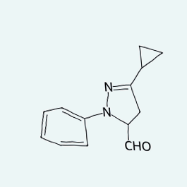 O=CC1CC(C2CC2)=NN1c1ccccc1